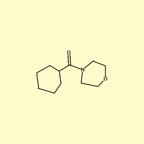 O=C(C1CC[CH]CC1)N1CCOCC1